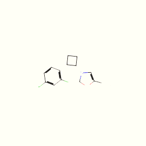 CC1=CN([C@H]2CC[C@H]2c2ccc(Cl)cc2Cl)CO1